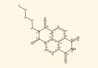 CCCCCN1C(=O)c2ccc3c4c(ccc(c24)C1=O)C(=O)NC3=O